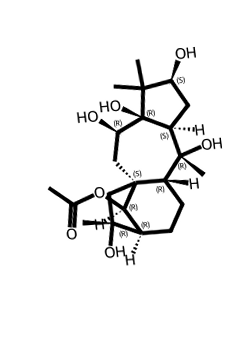 CC(=O)O[C@@H]1[C@H]2CC[C@H]3[C@@](C)(O)[C@@H]4C[C@H](O)C(C)(C)[C@@]4(O)[C@H](O)C[C@@]13C[C@@]2(C)O